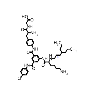 CCCC(/C=C/CNC(CCCCN)C(=O)Nc1cc(C(=O)Nc2ccc(Cl)cc2)cc(C(=O)Nc2ccc(CC(N)C(=O)NCC(=O)O)cc2)c1)CCC